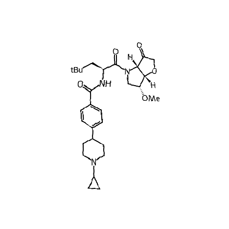 CO[C@@H]1CN(C(=O)[C@H](CC(C)(C)C)NC(=O)c2ccc(C3CCN(C4CC4)CC3)cc2)[C@@H]2C(=O)CO[C@@H]21